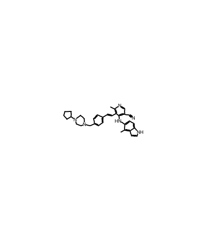 Cc1ncc(C#N)c(Nc2ccc3[nH]ccc3c2C)c1/C=C/c1ccc(CN2CCN(C3CCCC3)CC2)cc1